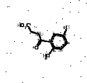 O=C(O)CNC(=O)c1cc(Cl)ccc1O